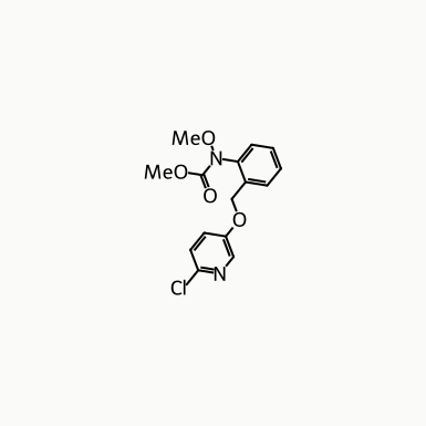 COC(=O)N(OC)c1ccccc1COc1ccc(Cl)nc1